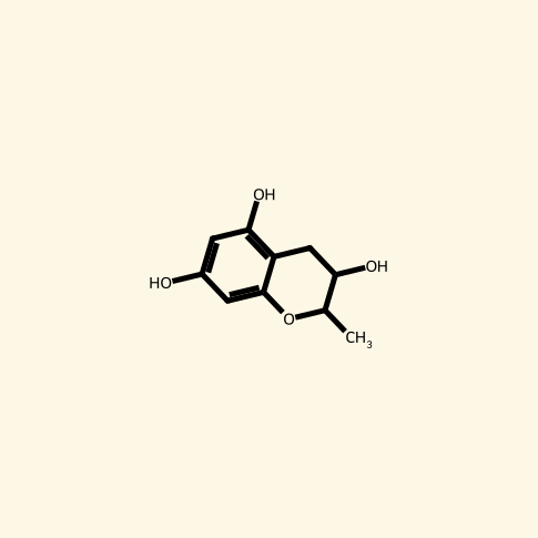 CC1Oc2cc(O)cc(O)c2CC1O